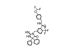 N=C1NC(c2ccccc2)(c2ccccc2)C(=O)N1Cc1ccc(C(F)(F)F)c(C(=O)NCc2ccc(OC(F)F)cc2)c1